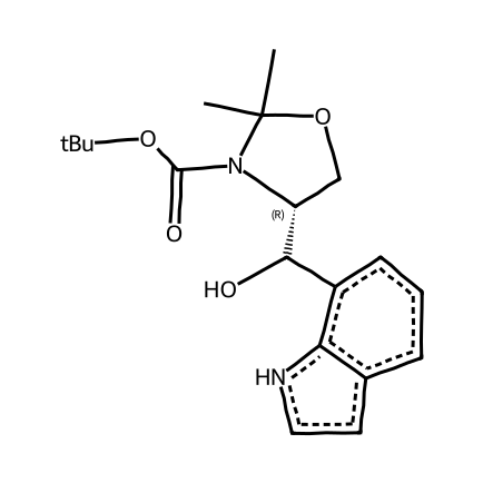 CC(C)(C)OC(=O)N1[C@@H](C(O)c2cccc3cc[nH]c23)COC1(C)C